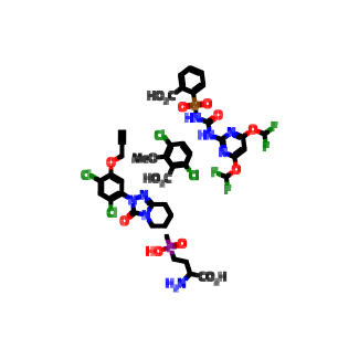 C#CCOc1cc(-n2nc3n(c2=O)CCCC3)c(Cl)cc1Cl.COc1c(Cl)ccc(Cl)c1C(=O)O.CP(=O)(O)CCC(N)C(=O)O.O=C(Nc1nc(OC(F)F)cc(OC(F)F)n1)NS(=O)(=O)c1ccccc1C(=O)O